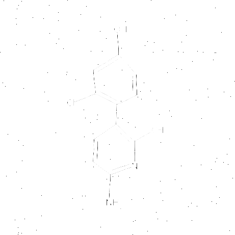 Cc1nc(N)ccc1-c1ccc(O)cc1Cl